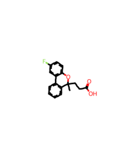 CC1(CCC(=O)O)Oc2ccc(F)cc2-c2ccccc21